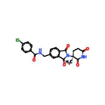 C[C@]1(N2C(=O)c3ccc(CNC(=O)c4ccc(Cl)cc4)cc3C2=O)CCC(=O)NC1=O